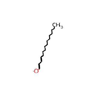 CCCCCCCCCCCCC=CC=C[O]